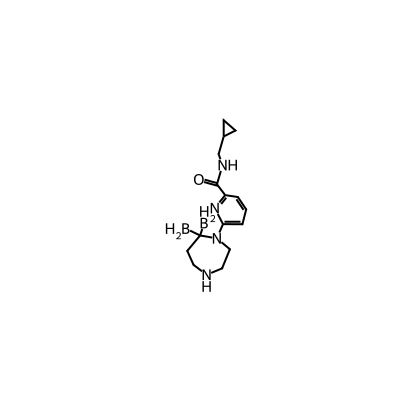 BC1(B)CCNCCN1c1cccc(C(=O)NCC2CC2)n1